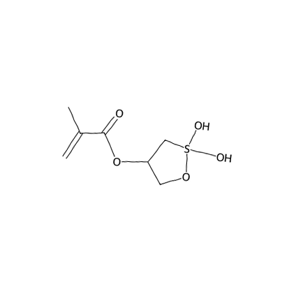 C=C(C)C(=O)OC1COS(O)(O)C1